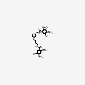 COc1cc(N)c(Cl)cc1C(=O)NCCCCN1CC[C@H](CNC(=O)c2cc(Cl)c(N)cc2OC)C1